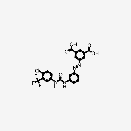 O=C(Nc1cccc(N=Nc2cc(C(=O)O)cc(C(=O)O)c2)c1)Nc1ccc(Cl)c(C(F)(F)F)c1